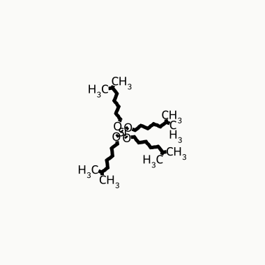 CC(C)CCCCCO[Si](OCCCCCC(C)C)(OCCCCCC(C)C)OCCCCCC(C)C